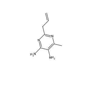 C=CCc1nc(C)c(N)c(N)n1